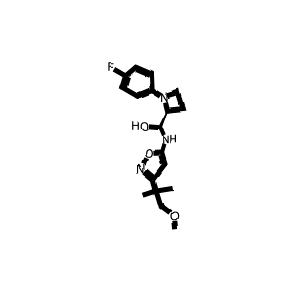 COCC(C)(C)c1cc(NC(O)[C@@H]2CCN2c2ccc(F)cc2)on1